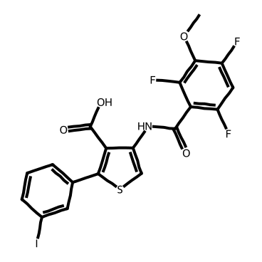 COc1c(F)cc(F)c(C(=O)Nc2csc(-c3cccc(I)c3)c2C(=O)O)c1F